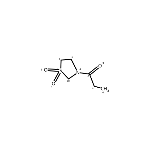 CCC(=O)N1CCS(=O)(=O)C1